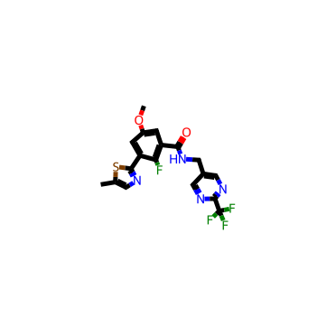 COc1cc(C(=O)NCc2cnc(C(F)(F)F)nc2)c(F)c(-c2ncc(C)s2)c1